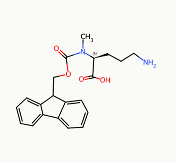 CN(C(=O)OCC1c2ccccc2-c2ccccc21)[C@@H](CCCN)C(=O)O